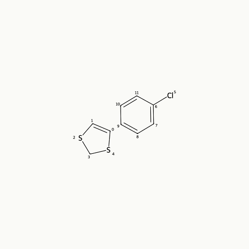 C1=CSCS1.Clc1ccccc1